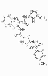 Cc1ccc(S(=O)(=O)N[C@H]2CN[C@H](C(=O)NC(Cc3ccccc3)C(O)C(=O)Nc3ncc(C)[nH]3)C2)cc1